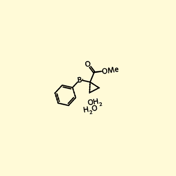 COC(=O)C1([B]c2ccccc2)CC1.O.O